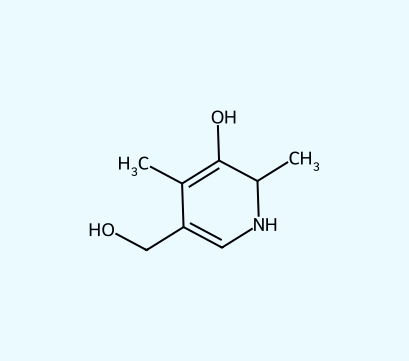 CC1=C(O)C(C)NC=C1CO